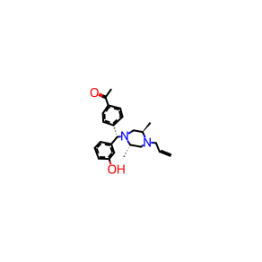 C=CCN1C[C@H](C)N([C@@H](c2ccc(C(C)=O)cc2)c2cccc(O)c2)C[C@H]1C